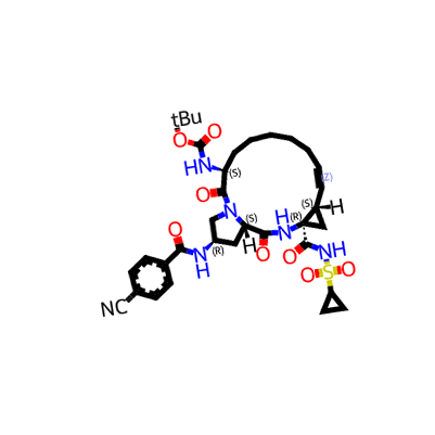 CC(C)(C)OC(=O)N[C@H]1CCCCC/C=C\[C@@H]2C[C@@]2(C(=O)NS(=O)(=O)C2CC2)NC(=O)[C@@H]2C[C@@H](NC(=O)c3ccc(C#N)cc3)CN2C1=O